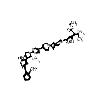 CCOC(=O)C(c1cc(N2CC3(CC(N4CCC(c5cnc(N6CCc7[nH]c8nnc(-c9ccccc9O)cc8c7[C@@H]6C)nc5)CC4)C3)C2)no1)C(C)C